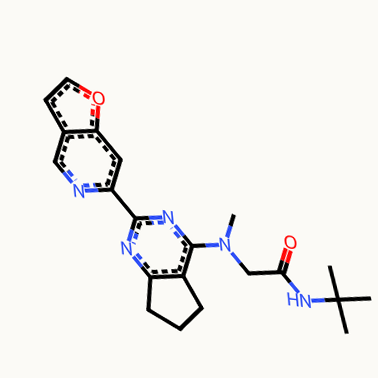 CN(CC(=O)NC(C)(C)C)c1nc(-c2cc3occc3cn2)nc2c1CCC2